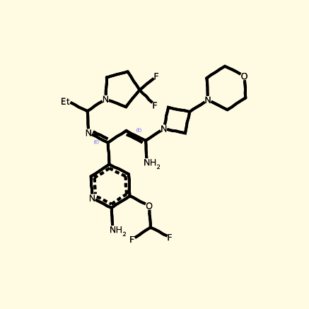 CCC(/N=C(\C=C(/N)N1CC(N2CCOCC2)C1)c1cnc(N)c(OC(F)F)c1)N1CCC(F)(F)C1